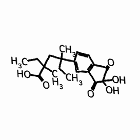 CCC(C)(CC(C)(CC)c1ccc2c(c1)C(=O)C(O)(O)C2=O)C(=O)O